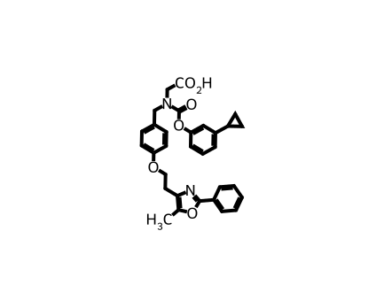 Cc1oc(-c2ccccc2)nc1CCOc1ccc(CN(CC(=O)O)C(=O)Oc2cccc(C3CC3)c2)cc1